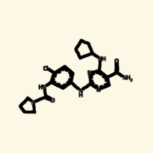 NC(=O)c1cnc(Nc2ccc(Cl)c(NC(=O)N3CCCC3)c2)nc1NC1CCCC1